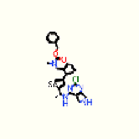 C[C@@H](Nc1nc(Cl)nc2c1CNC2)c1cc(-c2ccccc2CN(C)C(=O)OCc2ccccc2)c[se]1